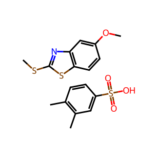 COc1ccc2sc(SC)nc2c1.Cc1ccc(S(=O)(=O)O)cc1C